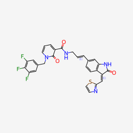 O=C1Nc2cc(/C=C/CNC(=O)c3cccn(Cc4cc(F)c(F)c(F)c4)c3=O)ccc2/C1=C\c1nccs1